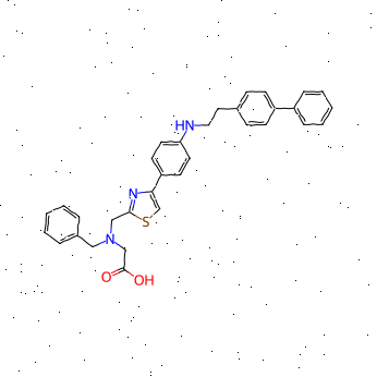 O=C(O)CN(Cc1ccccc1)Cc1nc(-c2ccc(NCCc3ccc(-c4ccccc4)cc3)cc2)cs1